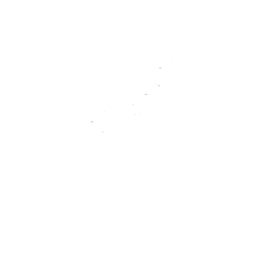 COCOc1ccc(/C=C/C(=O)OC2CCC3(C)C(=CCC4C3CCC3(C)C(C(C)CCCC=C(C)C)CCC43)C2(C)C)cc1